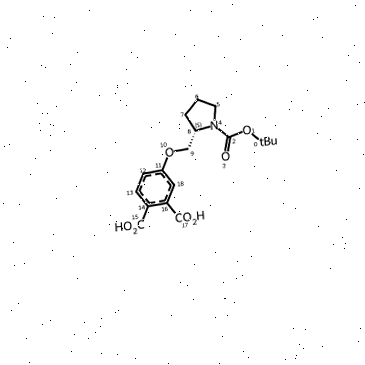 CC(C)(C)OC(=O)N1CCC[C@H]1COc1ccc(C(=O)O)c(C(=O)O)c1